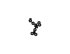 c1cncc(-c2ccc(-c3cc(-c4ccc(-n5c6ccccc6c6ccccc65)cc4)nc(-c4cccc5ccccc45)n3)cc2)c1